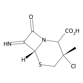 C[C@@]1(Cl)CS[C@@H]2C(=N)C(=O)N2C1C(=O)O